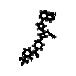 N#CCC1(n2cnc(-c3ncnc4[nH]ncc34)c2)CN(C2CCN(C(=O)c3ccnc(C(F)(F)F)c3F)CC2)C1